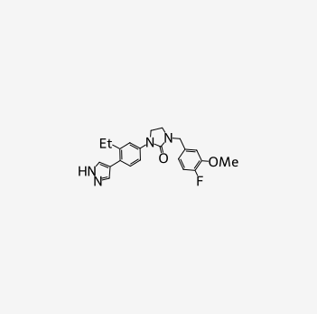 CCc1cc(N2CCN(Cc3ccc(F)c(OC)c3)C2=O)ccc1-c1cn[nH]c1